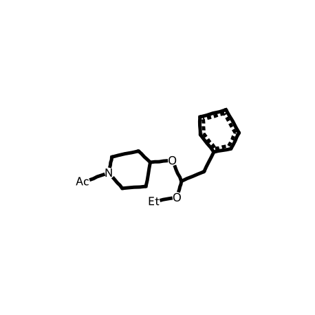 CCOC(Cc1ccccc1)OC1CCN(C(C)=O)CC1